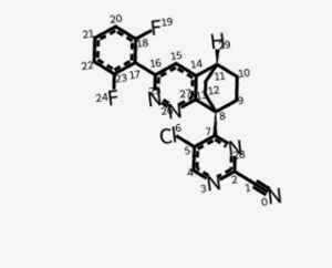 N#Cc1ncc(Cl)c([C@]23CC[C@H](CC2)c2cc(-c4c(F)cccc4F)nnc23)n1